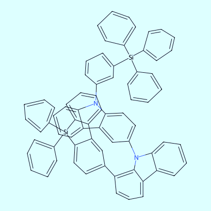 c1ccc([Si](c2ccccc2)(c2ccccc2)c2cccc(-n3c4ccccc4c4cc(-n5c6ccccc6c6cccc(-c7ccc8c(c7)-c7ccccc7[Si]8(c7ccccc7)c7ccccc7)c65)ccc43)c2)cc1